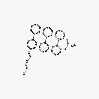 O=P[O-].O=P[O-].O=P[O-].[Al+3].c1ccc(-c2ccccc2)cc1.c1ccc(-c2ccccc2)cc1.c1ccc(-c2ccccc2)cc1